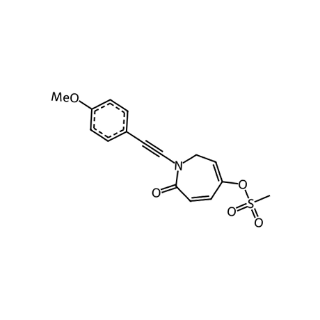 COc1ccc(C#CN2CC=C(OS(C)(=O)=O)C=CC2=O)cc1